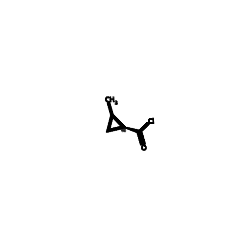 CC1C[C@@H]1C(=O)Cl